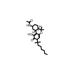 CCCCCCC(C)(C)C1C=C2OC(C)(C)[C@@H]3CCC(NC(C)=O)C[C@H]3C2=C(O)C1=O